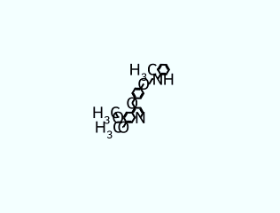 COc1cc2nccc(Oc3ccc(OCCNc4ccccc4C)cc3)c2cc1OC